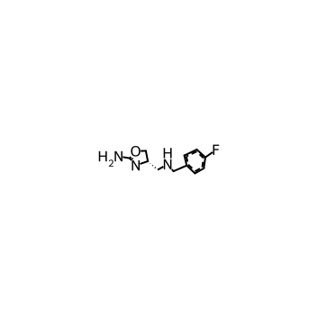 NC1=N[C@@H](CNCc2ccc(F)cc2)CO1